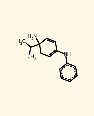 CC(C)C1(N)C=CC(Nc2ccccc2)=CC1